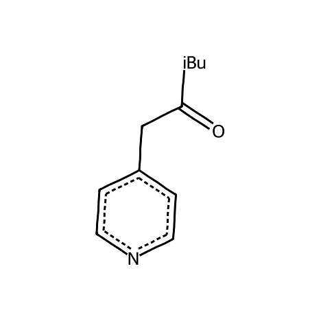 CCC(C)C(=O)Cc1ccncc1